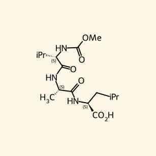 COC(=O)N[C@H](C(=O)N[C@@H](C)C(=O)N[C@@H](CC(C)C)C(=O)O)C(C)C